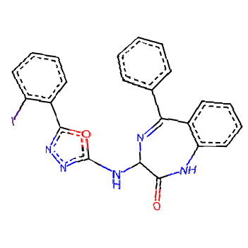 O=C1Nc2ccccc2C(c2ccccc2)=NC1Nc1nnc(-c2ccccc2I)o1